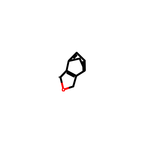 [C]1OCC2=C1C1=CC=C2C1